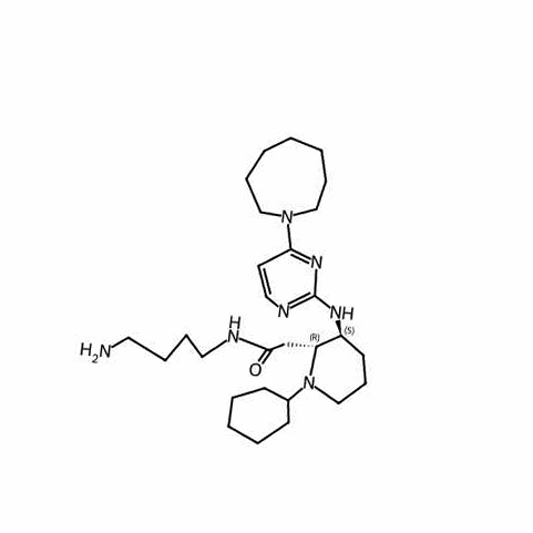 NCCCCNC(=O)C[C@@H]1[C@@H](Nc2nccc(N3CCCCCCC3)n2)CCCN1C1CCCCC1